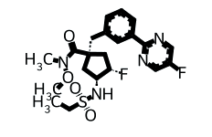 CCS(=O)(=O)N[C@@H]1C[C@@](Cc2cccc(-c3ncc(F)cn3)c2)(C(=O)N(C)OC)C[C@@H]1F